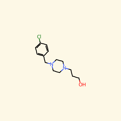 OCCCN1CCN(Cc2ccc(Cl)cc2)CC1